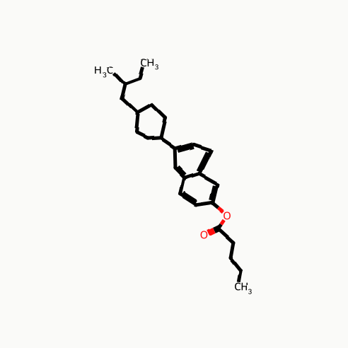 CCCCC(=O)Oc1ccc2cc(C3CCC(CC(C)CC)CC3)ccc2c1